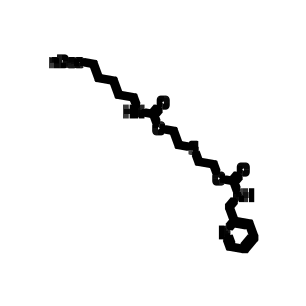 CCCCCCCCCCCCCCCNC(=O)OCCSCCOC(=O)NCc1ccccn1